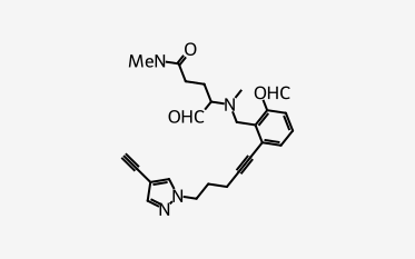 C#Cc1cnn(CCCC#Cc2cccc(C=O)c2CN(C)C(C=O)CCC(=O)NC)c1